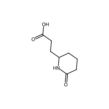 O=C(O)CCC1CCCC(=O)N1